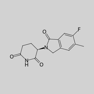 Cc1cc2c(cc1F)C(=O)N([C@@H]1CCC(=O)NC1=O)C2